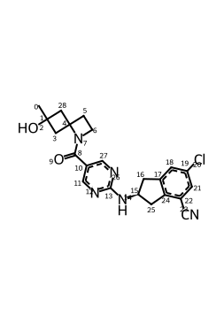 CC1(O)CC2(CCN2C(=O)c2cnc(N[C@H]3Cc4cc(Cl)cc(C#N)c4C3)nc2)C1